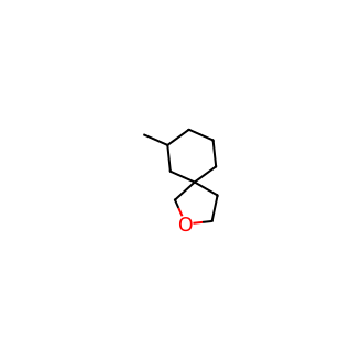 CC1CCCC2(CCOC2)C1